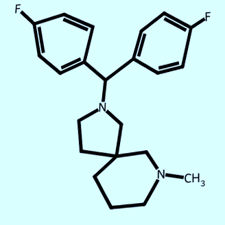 CN1CCCC2(CCN(C(c3ccc(F)cc3)c3ccc(F)cc3)C2)C1